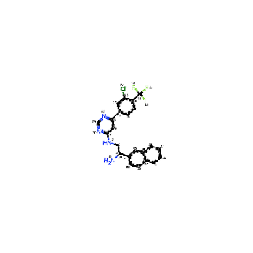 N[C@@H](CNc1cc(-c2ccc(C(F)(F)F)c(Cl)c2)ncn1)c1ccc2ccccc2c1